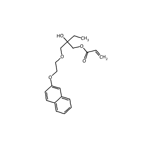 C=CC(=O)OCC(O)(CC)COCCOc1ccc2ccccc2c1